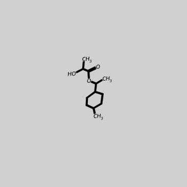 CC1CCC(C(C)OC(=O)C(C)O)CC1